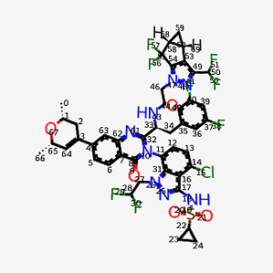 C[C@@H]1CC(c2ccc3c(=O)n(-c4ccc(Cl)c5c(NS(=O)(=O)C6CC6)nn(CC(F)F)c45)c([C@H](Cc4cc(F)cc(F)c4)NC(=O)Cn4nc(C(F)F)c5c4C(F)(F)[C@@H]4C[C@H]54)nc3c2)=C[C@H](C)O1